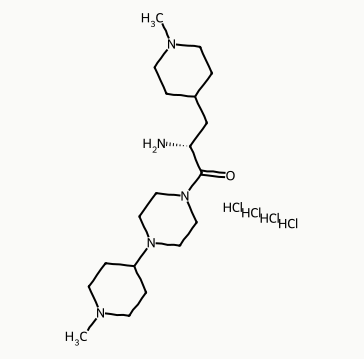 CN1CCC(C[C@@H](N)C(=O)N2CCN(C3CCN(C)CC3)CC2)CC1.Cl.Cl.Cl.Cl